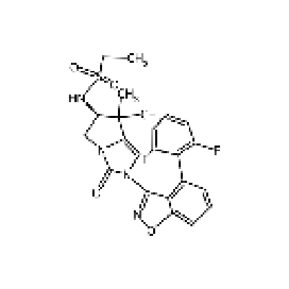 CCS(=O)(=O)N[C@@H]1Cn2c(cn(-c3noc4cccc(-c5c(F)cccc5F)c34)c2=O)C1(C)C